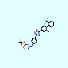 Cc1cc(-c2nc(-c3ccc(CN(C)CC(=O)OC(C)(C)C)nc3)no2)ccc1-c1ccccc1C(F)(F)F